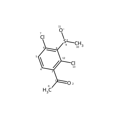 CC(=O)c1ccc(Cl)c([S+](C)[O-])c1Cl